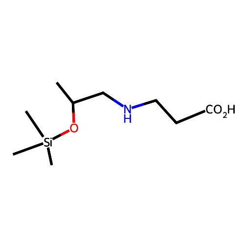 CC(CNCCC(=O)O)O[Si](C)(C)C